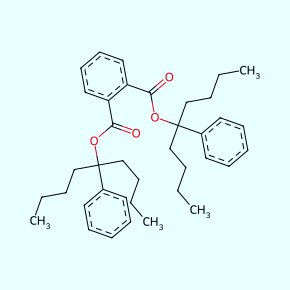 CCCCC(CCCC)(OC(=O)c1ccccc1C(=O)OC(CCCC)(CCCC)c1ccccc1)c1ccccc1